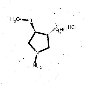 CO[C@@H]1CN(N)C[C@H]1C.Cl.Cl